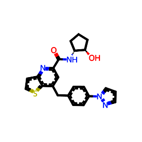 O=C(N[C@@H]1CCC[C@H]1O)c1cc(Cc2ccc(-n3cccn3)cc2)c2sccc2n1